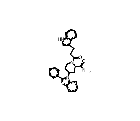 NC(=O)C1CC(n2c(-c3ccccc3)nc3ccccc32)CCN1C(=O)[CH]Cc1c[nH]c2ccccc12